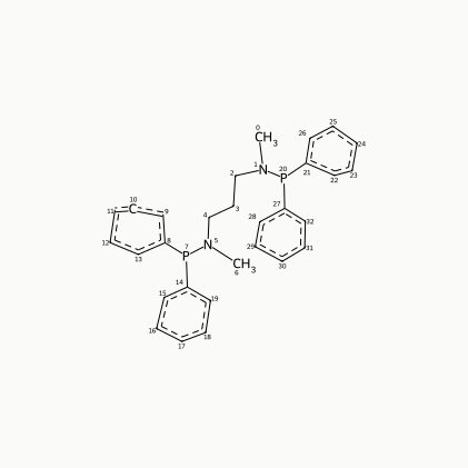 CN(CCCN(C)P(c1ccccc1)c1ccccc1)P(c1ccccc1)c1ccccc1